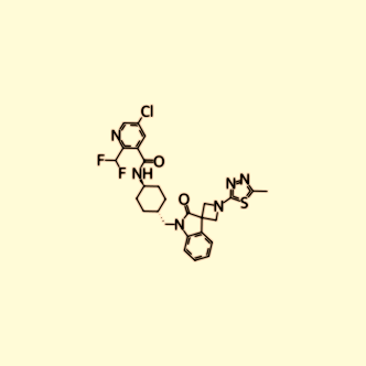 Cc1nnc(N2CC3(C2)C(=O)N(C[C@H]2CC[C@H](NC(=O)c4cc(Cl)cnc4C(F)F)CC2)c2ccccc23)s1